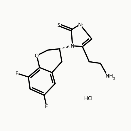 Cl.NCCC1=C[N]C(=S)N1[C@H]1COc2c(F)cc(F)cc2C1